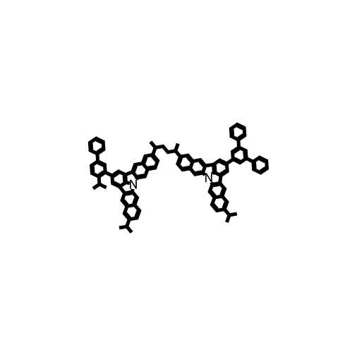 CC(C)c1ccc2cc3c(cc2c1)c1cc(-c2cc(-c4ccccc4)cc(-c4ccccc4)c2)cc2c4cc5cc(C(C)CCC(C)c6ccc7cc8c(cc7c6)c6cc(-c7cc(-c9ccccc9)ccc7C(C)C)cc7c9cc%10cc(C(C)C)ccc%10cc9n8c76)ccc5cc4n3c12